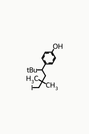 CC(C)(CI)CC(c1ccc(O)cc1)C(C)(C)C